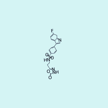 O=c1[nH]nc(CCNS(=O)(=O)c2ccc(C3=CN=C4CC(F)=CC=C34)cc2)o1